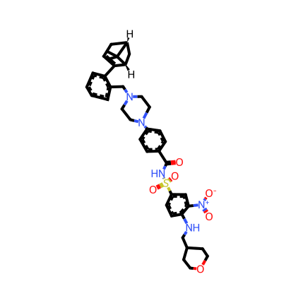 CC1(C)[C@H]2CC=C(c3ccccc3CN3CCN(c4ccc(C(=O)NS(=O)(=O)c5ccc(NCC6CCOCC6)c([N+](=O)[O-])c5)cc4)CC3)[C@H]1C2